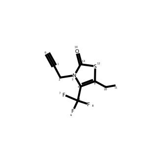 C#CCn1c(C(F)(F)F)c([CH]C)sc1=O